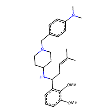 COc1cccc(C(CC=C(C)C)NC2CCN(Cc3ccc(N(C)C)cc3)CC2)c1OC